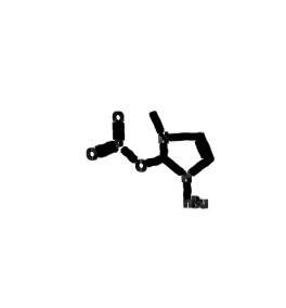 CCCCN1C=CN(C)C1OP(=O)=O